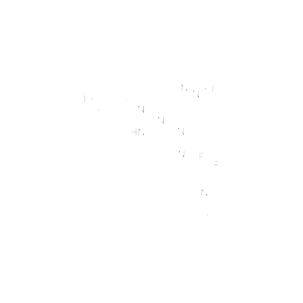 COc1ccnc(Nc2cc(N3CC4(CCN(C=O)CC4(F)F)C3)nc(-c3cnn(C)c3)n2)c1